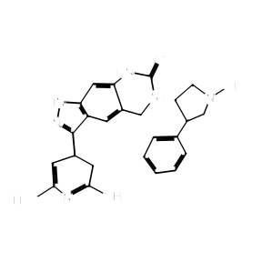 CC1=CC(c2n[nH]c3cc4c(cc23)CN([C@@H]2CN(C)CC2c2ccccc2)C(=O)N4)CC(C)=N1